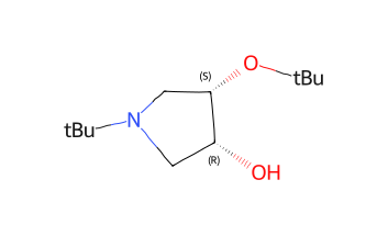 CC(C)(C)O[C@H]1CN(C(C)(C)C)C[C@H]1O